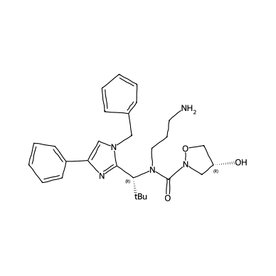 CC(C)(C)[C@H](c1nc(-c2ccccc2)cn1Cc1ccccc1)N(CCCN)C(=O)N1C[C@@H](O)CO1